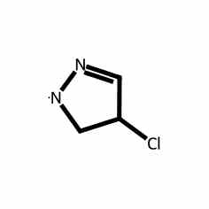 ClC1C=N[N]C1